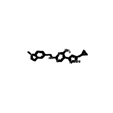 Cn1ccc2cc(CNc3ncc(-c4cc(C5CC5)[nH]n4)c(N)n3)ccc21